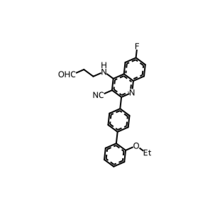 CCOc1ccccc1-c1ccc(-c2nc3ccc(F)cc3c(NCCC=O)c2C#N)cc1